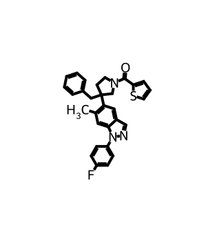 Cc1cc2c(cnn2-c2ccc(F)cc2)cc1C1(Cc2ccccc2)CCN(C(=O)c2cccs2)C1